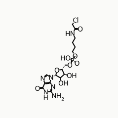 Nc1nc2c(ncn2[C@@H]2O[C@H](COP(=O)(O)OCCCCNC(=O)CCl)[C@@H](O)[C@H]2O)c(=O)[nH]1